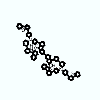 CC1(C)c2ccccc2-c2cccc(-c3ccc(N(c4ccc(-c5cccc6c5sc5ccccc56)cc4)c4cccc(-c5cccc(-c6cccc7cc(-c8ccc9c(c8)-c8cccc(-c%10ccc(N(c%11ccc(-c%12cccc%13c%12oc%12ccccc%12%13)cc%11)c%11cccc(-c%12cccc(-c%13cccc%14ccccc%13%14)c%12)c%11)cc%10)c8C9(C)C)ccc67)c5)c4)cc3)c21